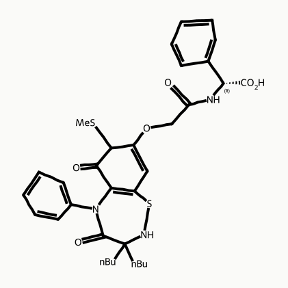 CCCCC1(CCCC)NSC2=C(C(=O)C(SC)C(OCC(=O)N[C@@H](C(=O)O)c3ccccc3)=C2)N(c2ccccc2)C1=O